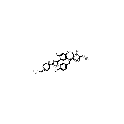 CC(C)(C)OC(=O)N[C@H]1CSc2cc(F)c(-c3noc(C4(C)CCN(CC(F)(F)F)CC4)n3)cc2N(Cc2ccc(Cl)cc2)C1=O